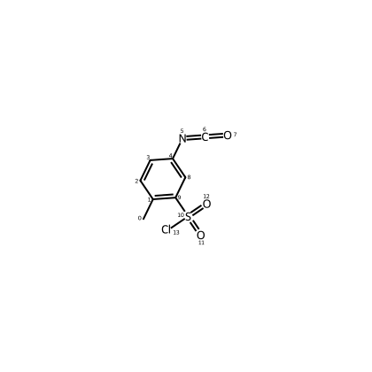 Cc1ccc(N=C=O)cc1S(=O)(=O)Cl